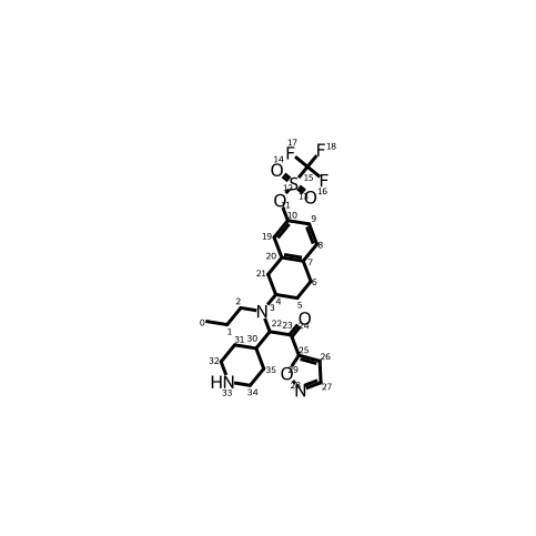 CCCN(C1CCc2ccc(OS(=O)(=O)C(F)(F)F)cc2C1)C(C(=O)c1ccno1)C1CCNCC1